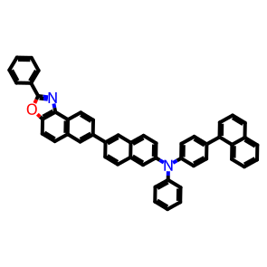 c1ccc(-c2nc3c(ccc4cc(-c5ccc6cc(N(c7ccccc7)c7ccc(-c8cccc9ccccc89)cc7)ccc6c5)ccc43)o2)cc1